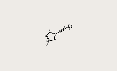 CCC#CN1CC=C(C)C1